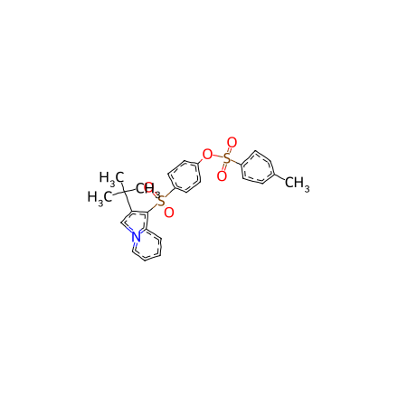 Cc1ccc(S(=O)(=O)Oc2ccc(S(=O)(=O)c3c(C(C)(C)C)cn4ccccc34)cc2)cc1